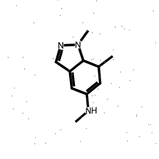 CNC1=CC(C)C2C(=C1)C=NN2C